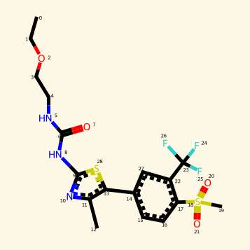 CCOCCNC(=O)Nc1nc(C)c(-c2ccc(S(C)(=O)=O)c(C(F)(F)F)c2)s1